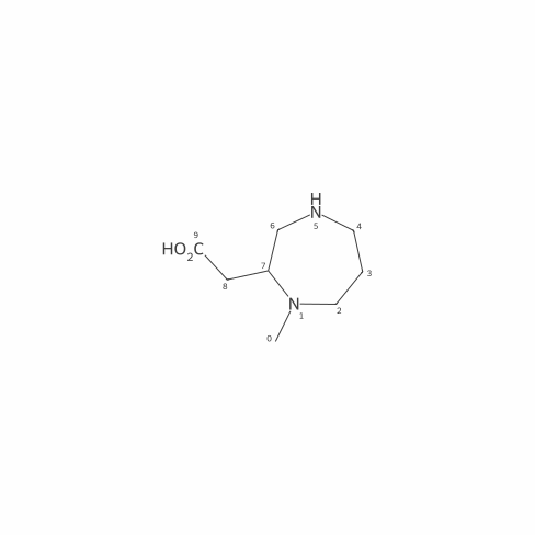 CN1CCCNCC1CC(=O)O